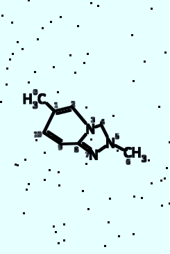 CC1=CN2CN(C)N=C2C=C1